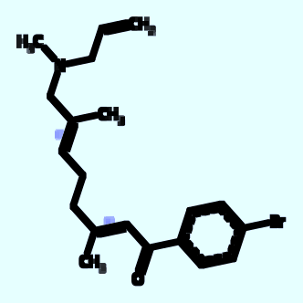 C=CCN(C)C/C(C)=C/CC/C(C)=C/C(=O)c1ccc(Br)cc1